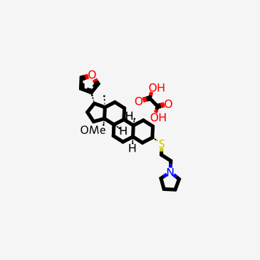 CO[C@]12CC[C@H](c3ccoc3)[C@@]1(C)CC[C@H]1[C@H]2CC[C@@H]2C[C@@H](SCCN3CCCC3)CC[C@@]21C.O=C(O)C(=O)O